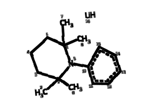 CC1(C)CCCC(C)(C)N1c1ccccc1.[LiH]